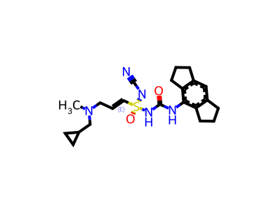 CN(C/C=C/S(=O)(=NC#N)NC(=O)Nc1c2c(cc3c1CCC3)CCC2)CC1CC1